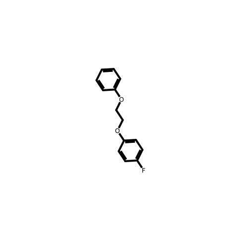 Fc1ccc(OCCOc2ccccc2)cc1